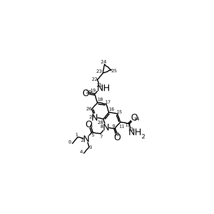 CCN(CC)C(=O)Cn1c(=O)c(C(N)=O)cc2cc(C(=O)NCC3CC3)cnc21